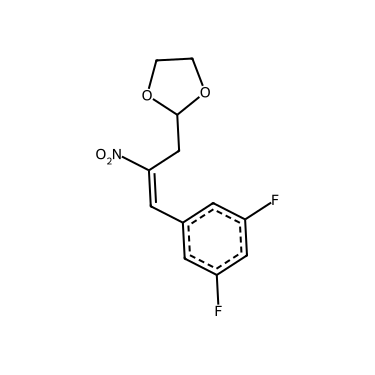 O=[N+]([O-])C(=Cc1cc(F)cc(F)c1)CC1OCCO1